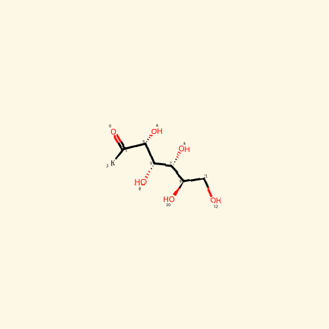 O=[C]([K])[C@H](O)[C@@H](O)[C@H](O)[C@H](O)CO